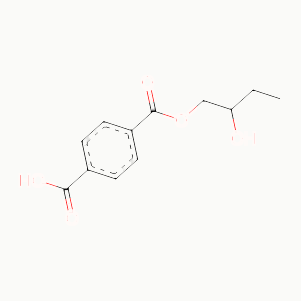 CCC(O)COC(=O)c1ccc(C(=O)O)cc1